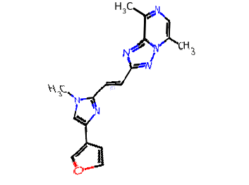 Cc1ncc(C)n2nc(/C=C/c3nc(-c4ccoc4)cn3C)nc12